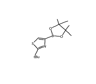 CC(C)(C)c1nc(B2OC(C)(C)C(C)(C)O2)cs1